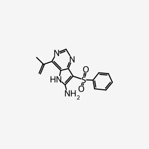 C=C(C)c1ncnc2c(S(=O)(=O)c3ccccc3)c(N)[nH]c12